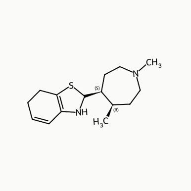 C[C@@H]1CCN(C)CC[C@@H]1C1NC2=C(CCC=C2)S1